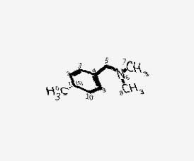 C[C@@H]1C=CC(CN(C)C)=CC1